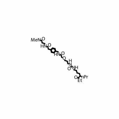 CCCC(CCCCNC(=O)NCCCOCC(=O)NCc1ccc(CC(=O)NCCC(=O)NC)cc1)C(=O)CC